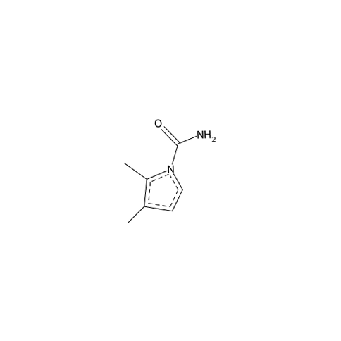 Cc1ccn(C(N)=O)c1C